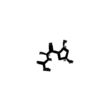 COC(=O)N[C@H](C(=O)N1C[C@@H](C(C)C)C[C@H]1C(C)C)C(C)C